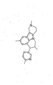 Cc1cc2c3c(c1)c1c(n3CC(C)C2c2ccc(C)nc2)CCN(C)C1